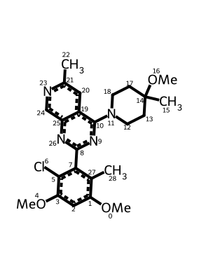 COc1cc(OC)c(Cl)c(-c2nc(N3CCC(C)(OC)CC3)c3cc(C)ncc3n2)c1C